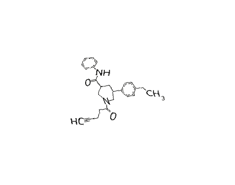 C#CCCC(=O)N1CC(C(=O)Nc2ccccc2)CC(c2ccc(CC)cc2)C1